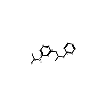 CC(Cc1ccccc1)Cc1cccc(OC(C)C)c1